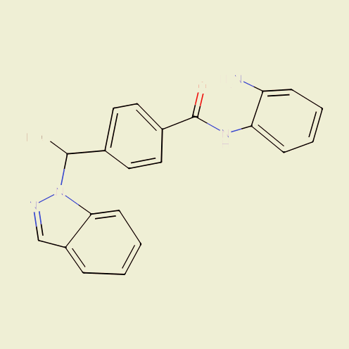 CC(c1ccc(C(=O)Nc2ccccc2N)cc1)n1ncc2ccccc21